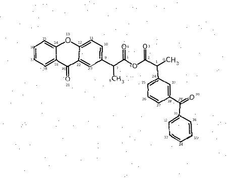 CC(C(=O)OC(=O)C(C)c1ccc2oc3ccccc3c(=O)c2c1)c1cccc(C(=O)c2ccccc2)c1